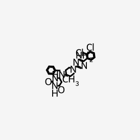 CC1(NCc2ccccc2N2CCC(=O)NC2=O)CCN(c2cnc(-c3cccc(Cl)c3Cl)c(N)n2)CC1